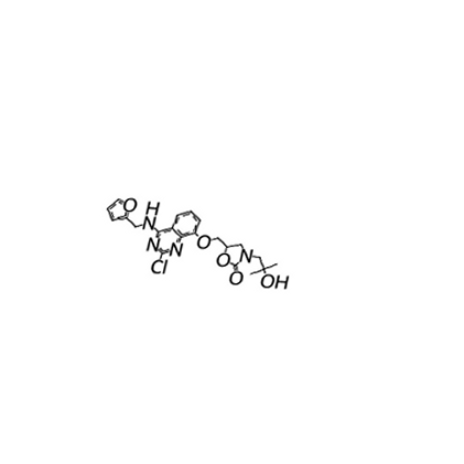 CC(C)(O)CN1CC(COc2cccc3c(NCc4ccco4)nc(Cl)nc23)OC1=O